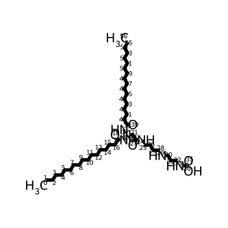 CCCCCCCCCCCCCCCCCC(=O)NN(CC(=O)NCCCCNCCCNC(=O)O)NC(=O)CCCCCCCCCCCCCCCCC